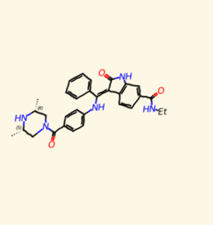 CCNC(=O)c1ccc2c(c1)NC(=O)C2=C(Nc1ccc(C(=O)N2C[C@@H](C)N[C@@H](C)C2)cc1)c1ccccc1